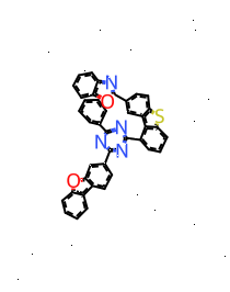 c1ccc(-c2nc(-c3ccc4c(c3)oc3ccccc34)nc(-c3cccc4sc5ccc(-c6nc7ccccc7o6)cc5c34)n2)cc1